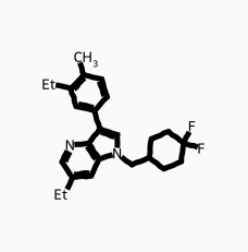 CCc1cnc2c(-c3ccc(C)c(CC)c3)cn(CC3CCC(F)(F)CC3)c2c1